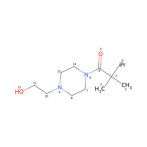 CC(C)C(C)(C)C(=O)N1CCN(CCO)CC1